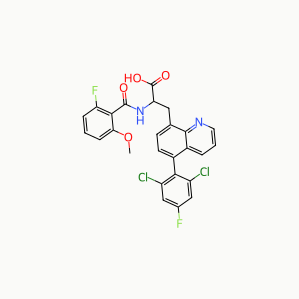 COc1cccc(F)c1C(=O)NC(Cc1ccc(-c2c(Cl)cc(F)cc2Cl)c2cccnc12)C(=O)O